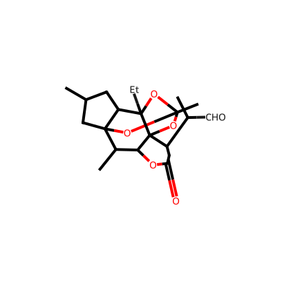 CCC12OC3(C)OC4(CC(C)CC41)C(C)C1OC(=O)CC(C(C)C=O)C12O3